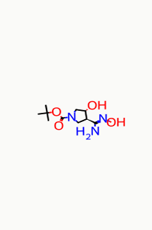 CC(C)(C)OC(=O)N1C[C@H](/C(N)=N/O)[C@@H](O)C1